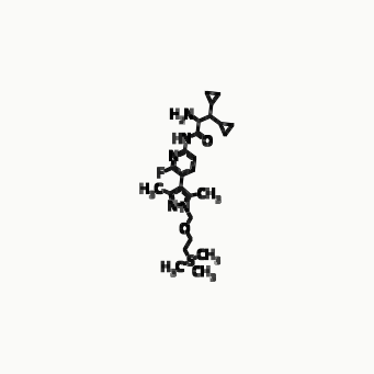 Cc1nn(COCCS(C)(C)C)c(C)c1-c1ccc(NC(=O)C(N)C(C2CC2)C2CC2)nc1F